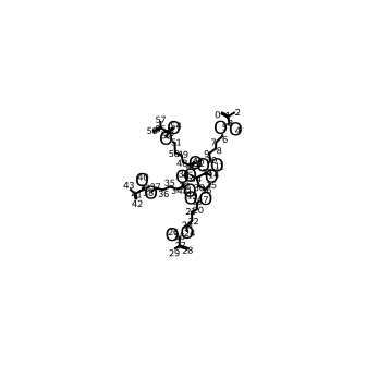 C=C(C)C(=O)OCCCCC(=O)O[C@H]1OC[C@@H](OC(=O)CCCCOC(=O)C(=C)C)[C@H](OC(=O)CCCCOC(=O)C(=C)C)[C@H]1OC(=O)CCCCOC(=O)C(=C)C